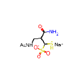 CC(=O)NCC(C(N)=O)C(S)S(=O)(=O)[O-].[Na+]